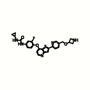 O=C(Nc1ccc(Oc2ccnc3cc(-c4ccc(COC5CNC5)cn4)sc23)c(F)c1)NC1CC1